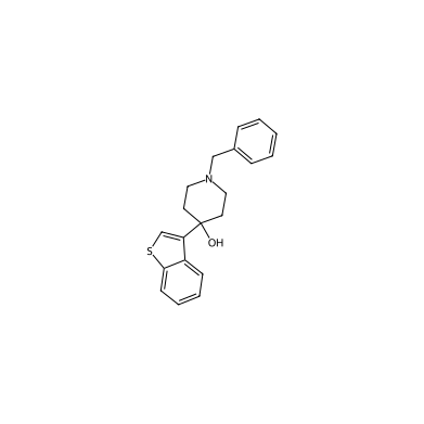 OC1(c2csc3ccccc23)CCN(Cc2ccccc2)CC1